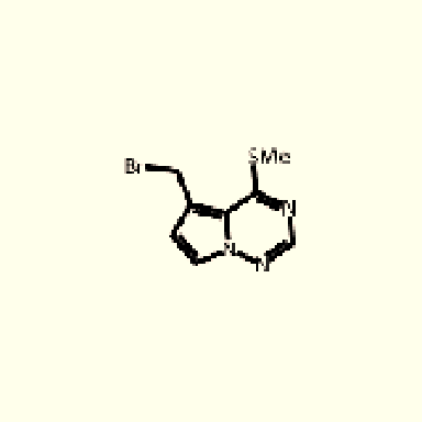 CSc1ncnn2ccc(CBr)c12